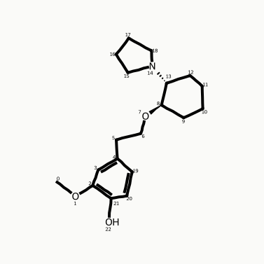 COc1cc(CCO[C@@H]2CCCC[C@H]2N2CCCC2)ccc1O